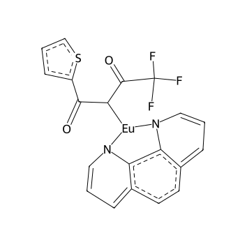 O=C(c1cccs1)[CH](C(=O)C(F)(F)F)[Eu]1[N]2C=CC=c3ccc4c(c32)[N]1C=CC=4